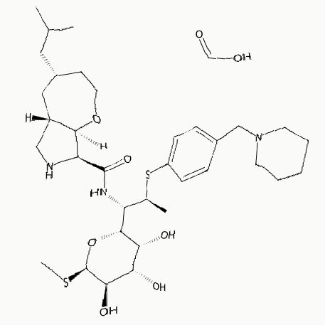 CS[C@H]1O[C@H]([C@H](NC(=O)[C@H]2NC[C@@H]3C[C@H](CC(C)C)CCO[C@H]32)[C@H](C)Sc2ccc(CN3CCCCC3)cc2)[C@H](O)[C@H](O)[C@H]1O.O=CO